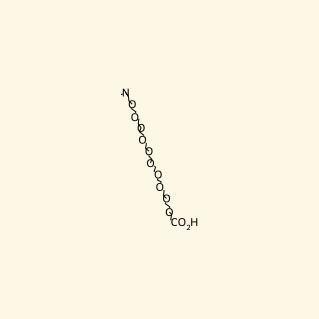 CN(C)CCOCCOCCOCCOCCOCCOCCOCCOCCOCCOCCC(=O)O